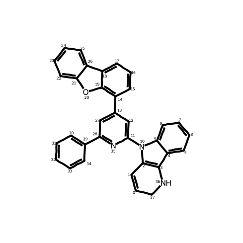 C1=Cc2c(c3ccccc3n2-c2cc(-c3cccc4c3oc3ccccc34)cc(-c3ccccc3)n2)NC1